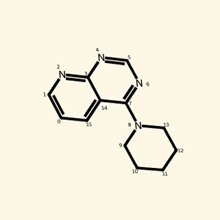 c1cnc2ncnc(N3CCCCC3)c2c1